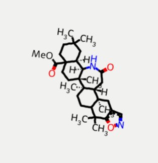 COC(=O)C12CCC(C)(C)C[C@H]1[C@H]1NC(=O)C[C@@H]3[C@@]4(C)Cc5cnoc5C(C)(C)C4CC[C@@]3(C)[C@]1(C)CC2